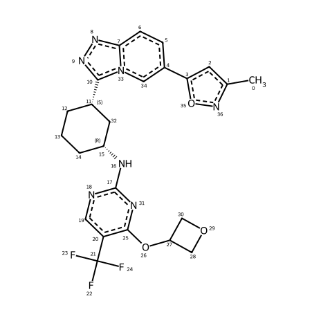 Cc1cc(-c2ccc3nnc([C@H]4CCC[C@@H](Nc5ncc(C(F)(F)F)c(OC6COC6)n5)C4)n3c2)on1